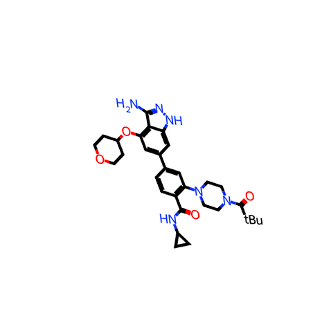 CC(C)(C)C(=O)N1CCN(c2cc(-c3cc(OC4CCOCC4)c4c(N)n[nH]c4c3)ccc2C(=O)NC2CC2)CC1